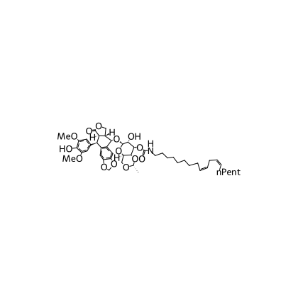 CCCCC/C=C\C/C=C\CCCCCCCCNC(=O)O[C@H]1C2O[C@H](C)OC[C@H]2O[C@@H](O[C@@H]2c3cc4c(cc3[C@@H](c3cc(OC)c(O)c(OC)c3)[C@H]3C(=O)OC[C@@H]32)OCO4)[C@@H]1O